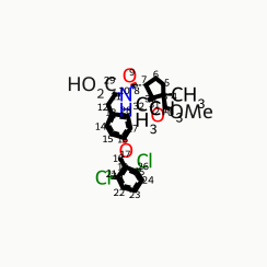 COC(=O)[C@@]1(C)CC[C@@H](C(=O)N[C@@H](Cc2ccc(OCc3c(Cl)cccc3Cl)cc2)C(=O)O)C1(C)C